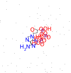 C[C@H]1O[C@@H](n2cnc3c(N)ncnc32)CC1OP(=O)(O)OP(=O)(O)OP(=O)(O)O